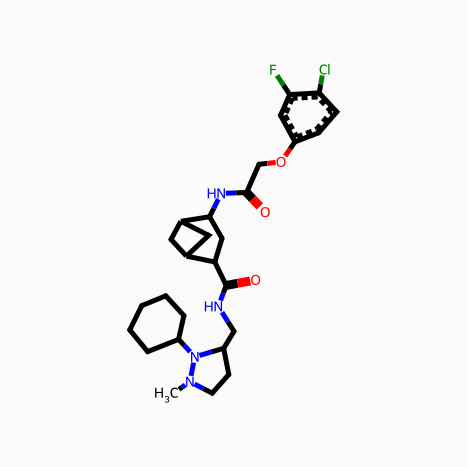 CN1CCC(CNC(=O)C2CC(NC(=O)COc3ccc(Cl)c(F)c3)C3CC2C3)N1C1CCCCC1